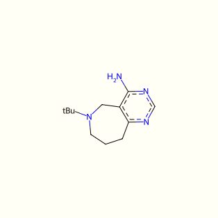 CC(C)(C)N1CCCc2ncnc(N)c2C1